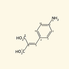 Nc1ccc(C=C(C(=O)O)C(=O)O)cc1